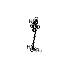 CC(C)(C)OC(=O)NCCCCCCCCCc1ccc2c(c1)C(=O)N(C1CCC(=O)NC1=O)C2=O